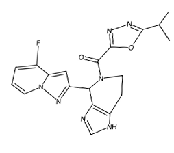 CC(C)c1nnc(C(=O)N2CCc3[nH]cnc3C2c2cc3c(F)cccn3n2)o1